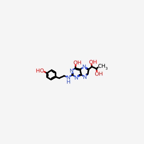 CC(O)C(O)c1cnc2nc(NCCc3ccc(O)cc3)nc(O)c2n1